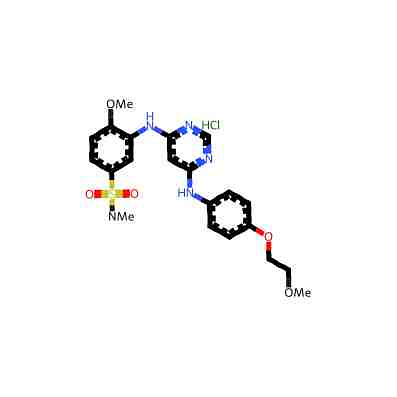 CNS(=O)(=O)c1ccc(OC)c(Nc2cc(Nc3ccc(OCCOC)cc3)ncn2)c1.Cl